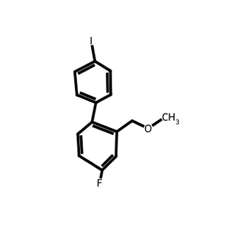 COCc1cc(F)ccc1-c1ccc(I)cc1